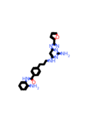 Nc1ccccc1NC(=O)c1ccc(CCCNc2cc3nc(-c4ccco4)nn3c(N)n2)cc1